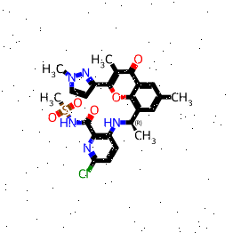 Cc1cc([C@@H](C)Nc2ccc(Cl)nc2C(=O)NS(C)(=O)=O)c2oc(-c3ccn(C)n3)c(C)c(=O)c2c1